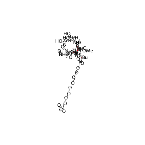 CC[C@H](C)[C@@H]1CCNC(=O)CNC(=O)[C@@H]2CC3c4ccc(OC)c(CSC5CCN(C(=O)CCOCCOCCOCCOCCOCCOCCOCCOCCN6C(=O)C=CC6=O)CC5)c4NC3[S+]([O-])C[C@@H](NC(=O)CNC1=O)C(=O)N[C@@H](CCC(N)=O)C(=O)N1C[C@H](O)CC1C(=O)N[C@@H]([C@@H](C)[C@@H](O)CO)C(=O)N2